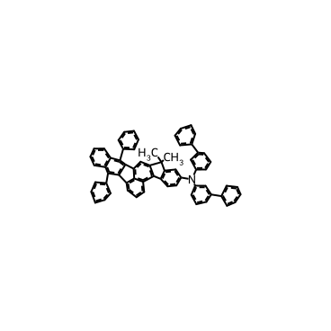 CC1(C)c2cc(N(c3cccc(-c4ccccc4)c3)c3cccc(-c4ccccc4)c3)ccc2-c2c1cc1c3c(cccc23)-c2c-1c(-c1ccccc1)c1ccccc1c2-c1ccccc1